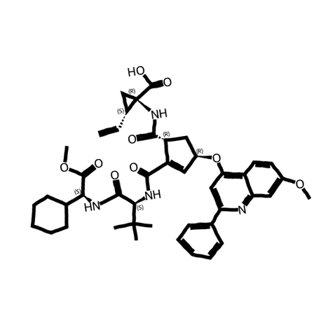 C=C[C@@H]1C[C@]1(NC(=O)[C@@H]1C[C@@H](Oc2cc(-c3ccccc3)nc3cc(OC)ccc23)C=C1C(=O)N[C@H](C(=O)N[C@H](C(=O)OC)C1CCCCC1)C(C)(C)C)C(=O)O